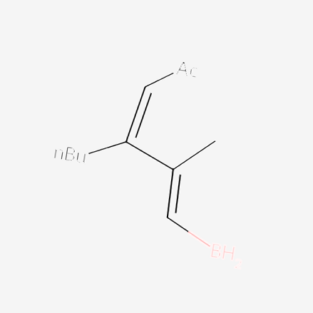 B/C=C(C)/C(=C\C(C)=O)CCCC